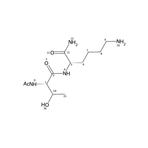 CC(=O)N[C@H](C(=O)N[C@@H](CCCCN)C(N)=O)C(C)O